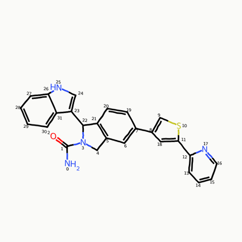 NC(=O)N1Cc2cc(-c3csc(-c4ccccn4)c3)ccc2C1c1c[nH]c2ccccc12